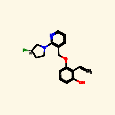 C=Cc1c(O)cccc1OCc1cccnc1N1CC[C@H](F)C1